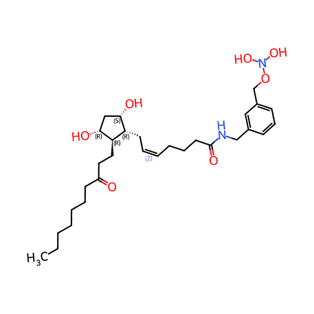 CCCCCCCC(=O)CC[C@@H]1[C@@H](C/C=C\CCCC(=O)NCc2cccc(CON(O)O)c2)[C@@H](O)C[C@H]1O